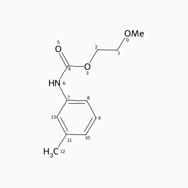 COCCOC(=O)Nc1cccc(C)c1